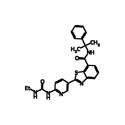 CCNC(=O)Nc1ccc(-c2nc3cccc(C(=O)NC(C)(C)c4ccccc4)c3s2)cn1